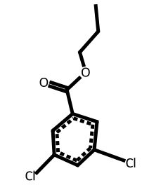 CCCOC(=O)c1cc(Cl)cc(Cl)c1